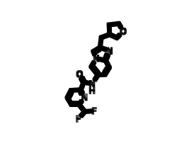 O=C(Nc1ccc2nc(CC3CCOC3)cn2c1)c1cccc(C(F)F)n1